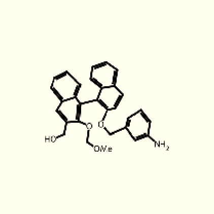 COCOc1c(CO)cc2ccccc2c1-c1c(OCc2cccc(N)c2)ccc2ccccc12